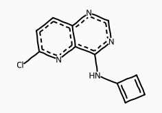 Clc1ccc2ncnc(NC3=CC=C3)c2n1